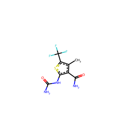 Cc1c(C(F)(F)F)sc(NC(N)=O)c1C(N)=O